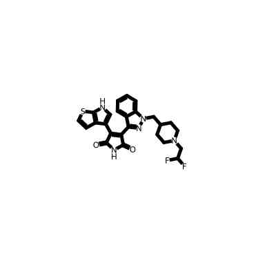 O=C1NC(=O)C(c2nn(CC3CCN(CC(F)F)CC3)c3ccccc23)=C1c1c[nH]c2sccc12